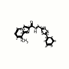 Cc1cccn2cc(C(=O)NCc3nnc(-c4ccccc4)s3)nc12